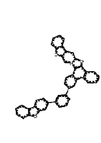 c1cc(-c2ccc3c(c2)oc2ccccc23)cc(-c2ccc3c(c2)c2ccccc2c2nc4cc5c(cn4c32)oc2ccccc25)c1